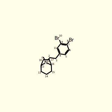 C[N+]1(CCc2ccc(Br)c(Br)c2)C2C[CH]CC1CC2